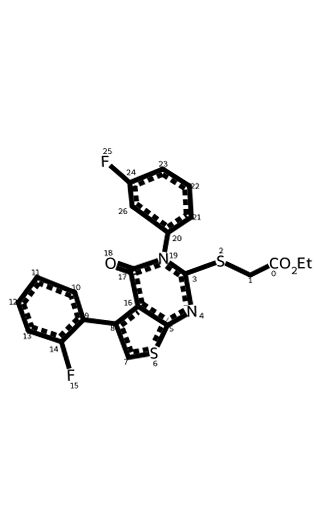 CCOC(=O)CSc1nc2scc(-c3ccccc3F)c2c(=O)n1-c1cccc(F)c1